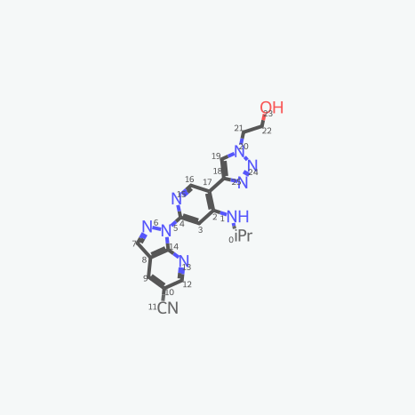 CC(C)Nc1cc(-n2ncc3cc(C#N)cnc32)ncc1-c1cn(CCO)nn1